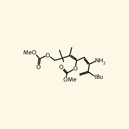 C=C(/C(N)=C\C(OC(=O)OC)=C(/C)C(C)(C)COC(=O)OC)C(C)(C)C